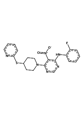 O=[N+]([O-])c1c(Nc2ccccc2F)ncnc1N1CCC(Sc2ccccn2)CC1